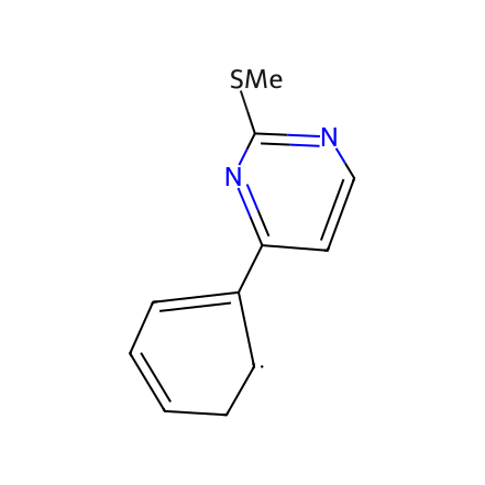 CSc1nccc(C2=CC=CC[CH]2)n1